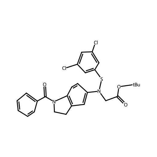 CC(C)(C)OC(=O)CN(Sc1cc(Cl)cc(Cl)c1)c1ccc2c(c1)CCN2C(=O)c1ccccc1